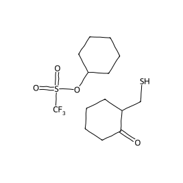 O=C1CCCCC1CS.O=S(=O)(OC1CCCCC1)C(F)(F)F